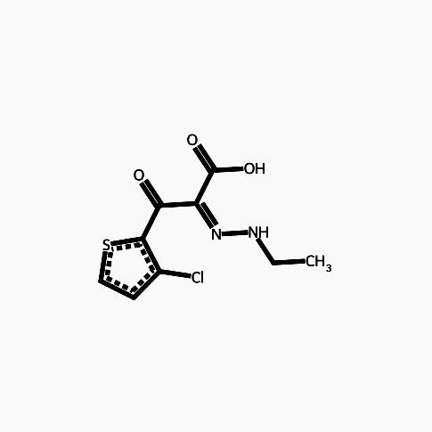 CCNN=C(C(=O)O)C(=O)c1sccc1Cl